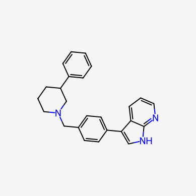 c1ccc(C2CCCN(Cc3ccc(-c4c[nH]c5ncccc45)cc3)C2)cc1